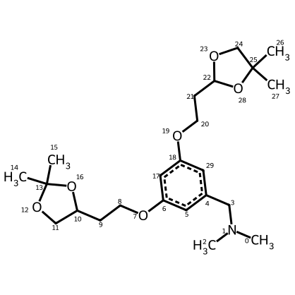 CN(C)Cc1cc(OCCC2COC(C)(C)O2)cc(OCCC2OCC(C)(C)O2)c1